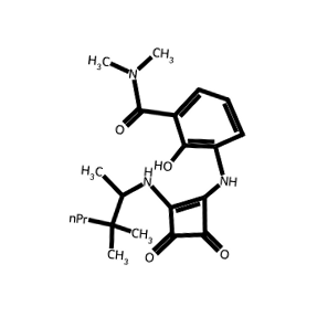 CCCC(C)(C)C(C)Nc1c(Nc2cccc(C(=O)N(C)C)c2O)c(=O)c1=O